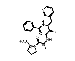 C[C@H](NCC(=O)C(Cc1cccnc1)NC(=O)c1ccccc1)C(=O)N1CCC[C@H]1C(=O)O